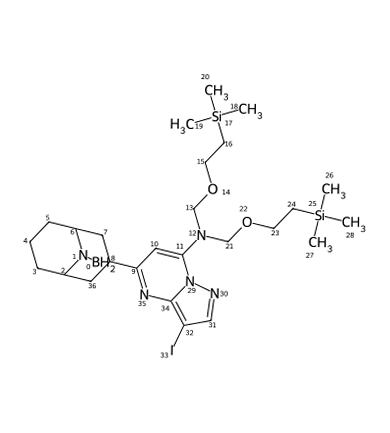 BN1C2CCCC1CC(c1cc(N(COCC[Si](C)(C)C)COCC[Si](C)(C)C)n3ncc(I)c3n1)C2